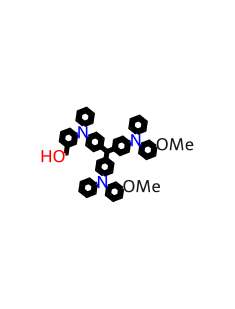 COc1cccc(N(c2ccccc2)c2ccc(C(c3ccc(N(c4ccccc4)c4cccc(CO)c4)cc3)c3ccc(N(c4ccccc4)c4cccc(OC)c4)cc3)cc2)c1